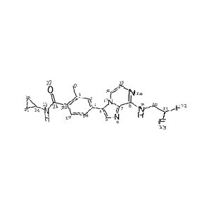 Cc1cc(-c2cnc3c(NCC(F)F)nccn23)ccc1C(=O)NC1CC1